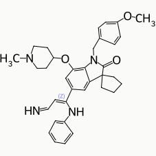 COc1ccc(CN2C(=O)C3(CCCC3)c3cc(/C(=C/C=N)Nc4ccccc4)cc(OC4CCN(C)CC4)c32)cc1